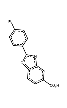 O=C(O)c1ccc2oc(-c3ccc(Br)cc3)nc2c1